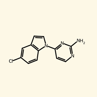 Nc1nccc(-n2ccc3cc(Cl)ccc32)n1